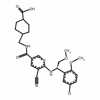 COC[C@H](Nc1ncc(C(=O)NCC2CCC(C(=O)O)CC2)cc1C#N)c1cc(Cl)ccc1OC